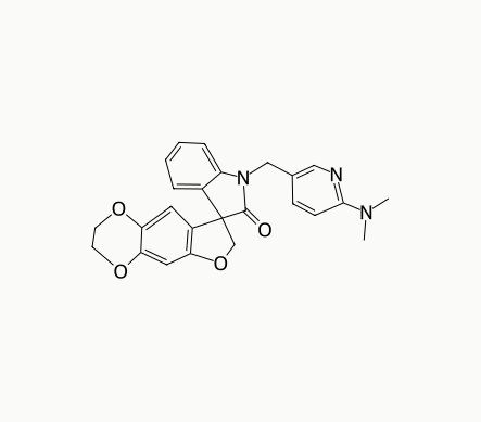 CN(C)c1ccc(CN2C(=O)C3(COc4cc5c(cc43)OCCO5)c3ccccc32)cn1